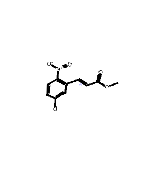 COC(=O)/C=C/c1cc(Cl)ccc1[N+](=O)[O-]